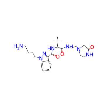 CC(C)(C)C(NC(=O)c1nn(CCCCN)c2ccccc12)C(=O)NCCN1CCNC(=O)C1